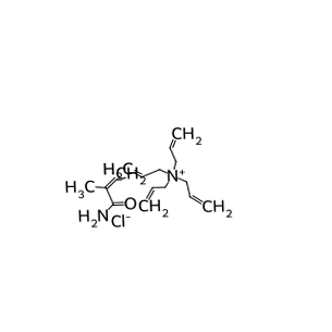 C=C(C)C(N)=O.C=CC[N+](CC=C)(CC=C)CC=C.[Cl-]